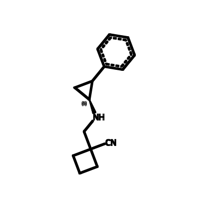 N#CC1(CN[C@H]2CC2c2ccccc2)CCC1